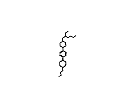 CCCCC1CCC(c2ccc(C3CCC(CC(CC)CCCC)CC3)cc2)CC1